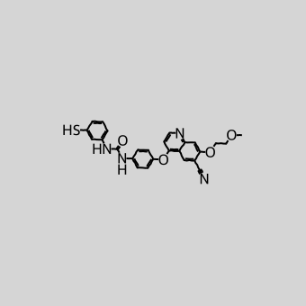 COCCOc1cc2nccc(Oc3ccc(NC(=O)Nc4cccc(S)c4)cc3)c2cc1C#N